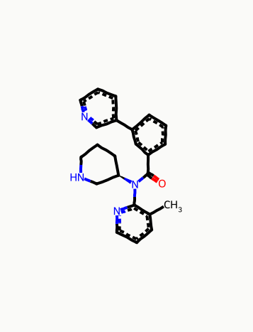 Cc1cccnc1N(C(=O)c1cccc(-c2cccnc2)c1)[C@@H]1CCCNC1